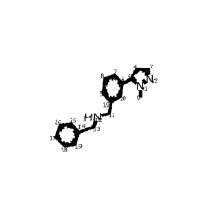 Cn1nccc1-c1cccc(CNCc2ccccc2)c1